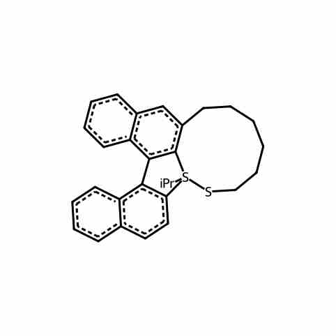 CC(C)S12SCCCCCCc3cc4ccccc4c(c31)-c1c2ccc2ccccc12